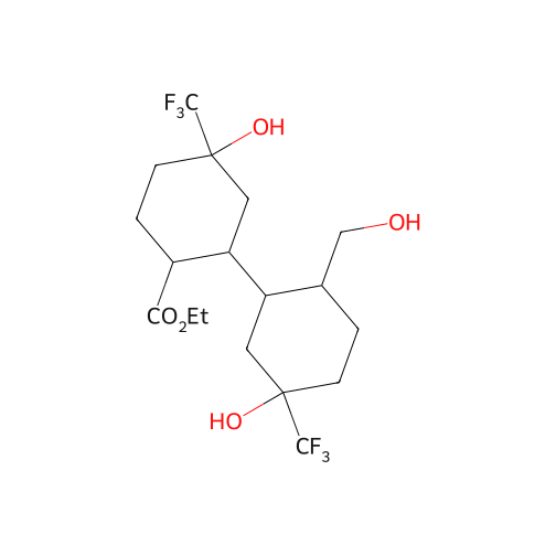 CCOC(=O)C1CCC(O)(C(F)(F)F)CC1C1CC(O)(C(F)(F)F)CCC1CO